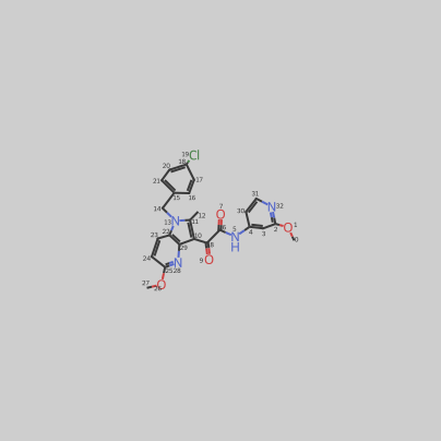 COc1cc(NC(=O)C(=O)c2c(C)n(Cc3ccc(Cl)cc3)c3ccc(OC)nc23)ccn1